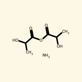 CC(O)C(=O)OC(=O)C(C)O.N